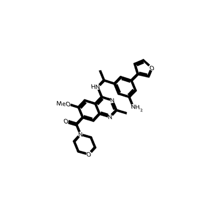 COc1cc2c(NC(C)c3cc(N)cc(-c4ccoc4)c3)nc(C)nc2cc1C(=O)N1CCOCC1